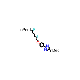 CCCCCCCCCCc1cnc(-c2ccc(OCCC(F)CCCC(F)CCCCC)cc2)nc1